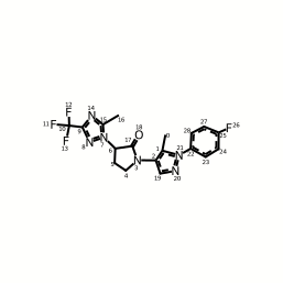 Cc1c(N2CCC(n3nc(C(F)(F)F)nc3C)C2=O)cnn1-c1ccc(F)cc1